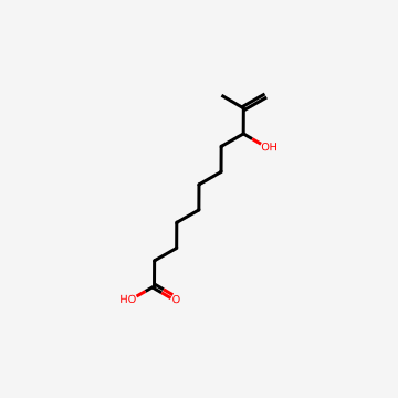 C=C(C)C(O)CCCCCCCC(=O)O